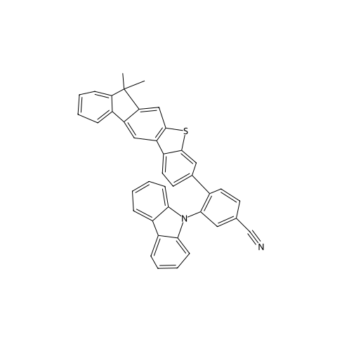 CC1(C)c2ccccc2-c2cc3c(cc21)sc1cc(-c2ccc(C#N)cc2-n2c4ccccc4c4ccccc42)ccc13